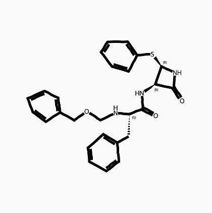 O=C(N[C@@H]1C(=O)N[C@@H]1Sc1ccccc1)[C@H](Cc1ccccc1)NCOCc1ccccc1